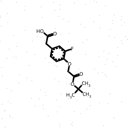 CC(C)(C)OC(=O)COc1ccc(CC(=O)O)cc1F